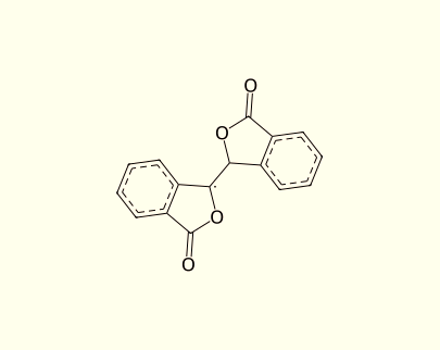 O=C1O[C](C2OC(=O)c3ccccc32)c2ccccc21